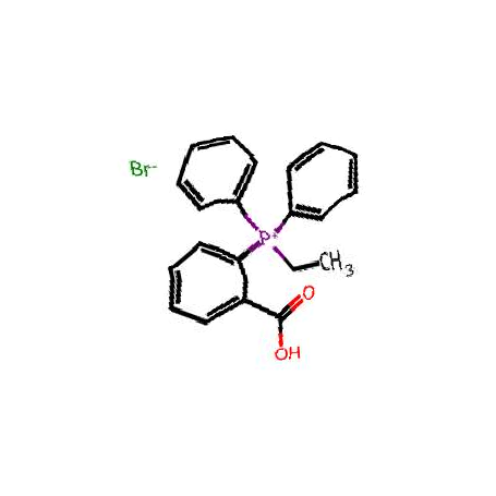 CC[P+](c1ccccc1)(c1ccccc1)c1ccccc1C(=O)O.[Br-]